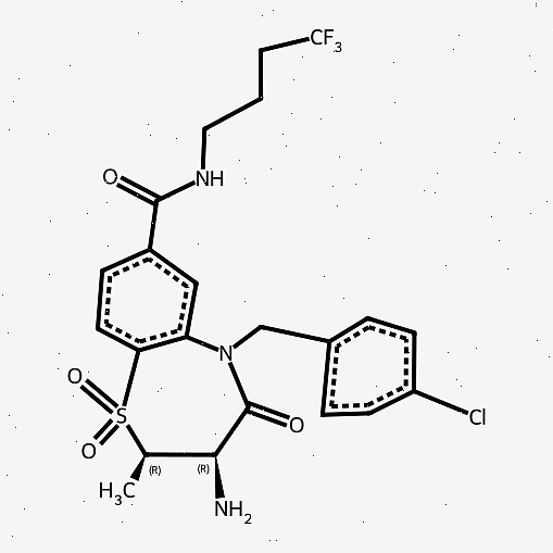 C[C@@H]1[C@H](N)C(=O)N(Cc2ccc(Cl)cc2)c2cc(C(=O)NCCCC(F)(F)F)ccc2S1(=O)=O